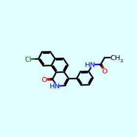 CCC(=O)Nc1cccc(-c2c[nH]c(=O)c3c2ccc2ccc(Cl)cc23)c1